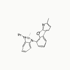 Cc1ccc2c(n1)oc1c(N3c4ccccc4N(C(C)C)[C@@H]3C)cccc12